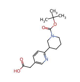 CC(C)(C)OC(=O)N1CCCC(c2ccc(CC(=O)O)cn2)C1